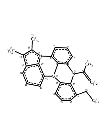 C=C(C)N1c2cccc3c2B(c2cccc(CC)c21)c1cccc2c(C)c(C)n-3c12